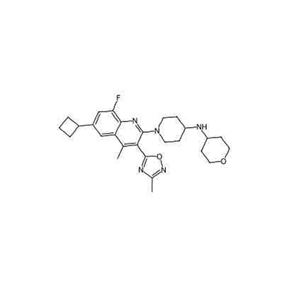 Cc1noc(-c2c(N3CCC(NC4CCOCC4)CC3)nc3c(F)cc(C4CCC4)cc3c2C)n1